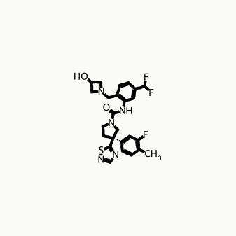 Cc1ccc([C@]2(c3ncns3)CCN(C(=O)Nc3cc(C(F)F)ccc3CN3CC(O)C3)C2)cc1F